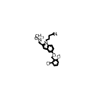 CON=Cc1cc2cc(OCc3c(Cl)cccc3Cl)ccc2n1CCCC#N